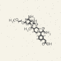 COCCOc1nc(N)c2[nH]c(=O)n(C(C)C3CCN(C(C(N)=O)c4cccc(CC(=O)O)c4)CC3)c2n1